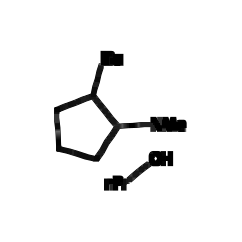 CCC(C)C1CCCC1NC.CCCO